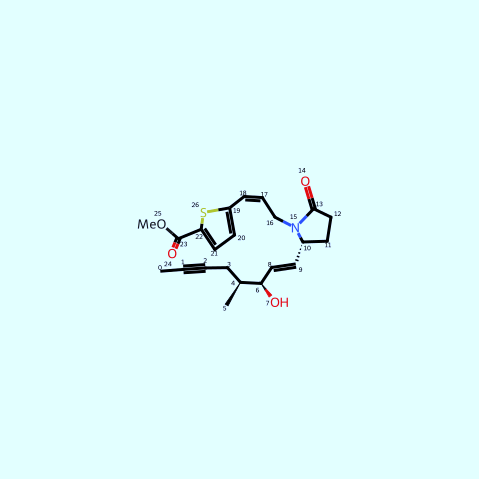 CC#CC[C@H](C)[C@H](O)/C=C/[C@H]1CCC(=O)N1C/C=C\c1ccc(C(=O)OC)s1